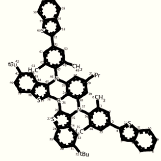 Cc1cc(-c2cc3ccccc3s2)cc(C)c1N1c2cc(C(C)C)cc3c2B(c2sc4ccc(C(C)(C)C)cc4c21)c1sc2ccc(C(C)(C)C)cc2c1N3c1c(C)cc(-c2cc3ccccc3s2)cc1C